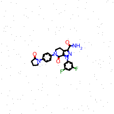 NC(=O)c1nn(-c2cc(F)cc(F)c2)c2c1CCN(c1ccc(N3CCCC3=O)cc1)C2=O